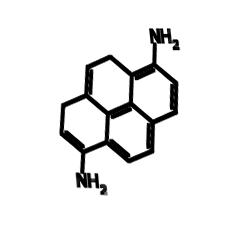 NC1=CCC2=CCc3c(N)ccc4ccc1c2c34